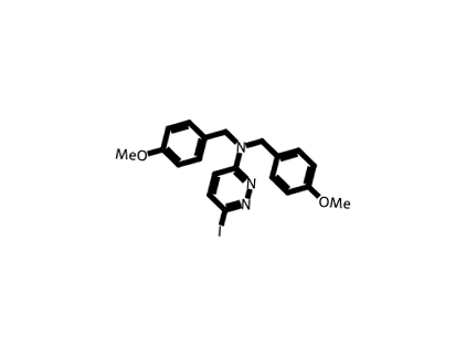 COc1ccc(CN(Cc2ccc(OC)cc2)c2ccc(I)nn2)cc1